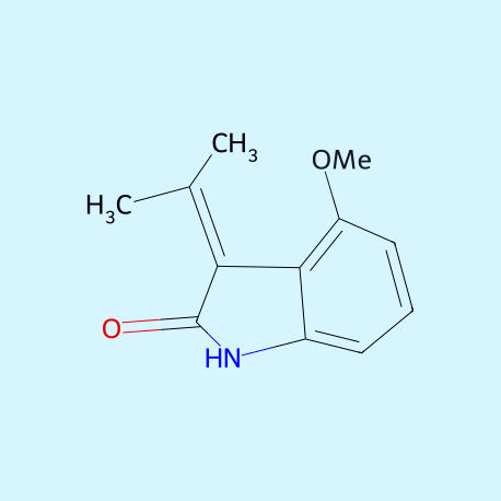 COc1cccc2c1C(=C(C)C)C(=O)N2